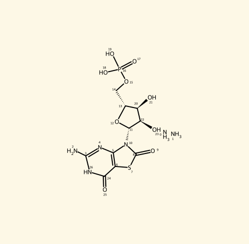 N.N.Nc1nc2c(sc(=O)n2[C@@H]2O[C@H](COP(=O)(O)O)[C@@H](O)[C@H]2O)c(=O)[nH]1